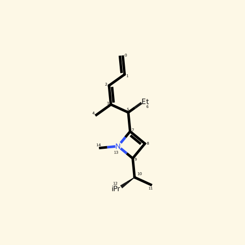 C=C/C=C(/C)C(CC)C1=CC([C@@H](C)C(C)C)N1C